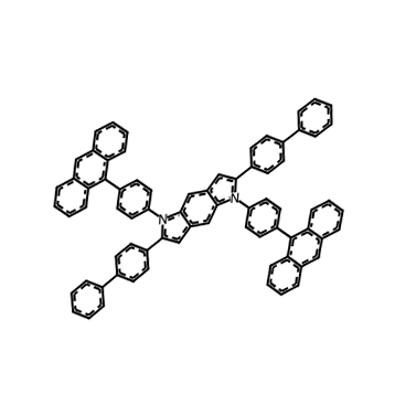 c1ccc(-c2ccc(-c3cc4cc5c(cc(-c6ccc(-c7ccccc7)cc6)n5-c5ccc(-c6c7ccccc7cc7ccccc67)cc5)cc4n3-c3ccc(-c4c5ccccc5cc5ccccc45)cc3)cc2)cc1